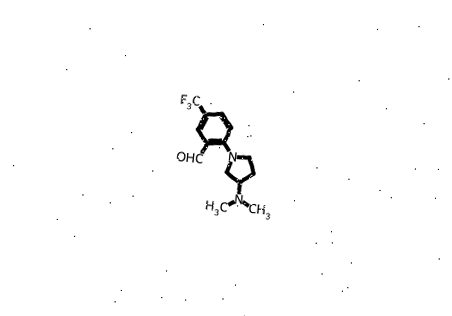 CN(C)C1CCN(c2ccc(C(F)(F)F)cc2C=O)C1